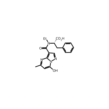 CCN(C(=O)c1cnn2c(O)cc(C)nc12)[C@@H](Cc1ccccc1)C(=O)O